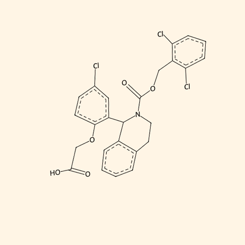 O=C(O)COc1ccc(Cl)cc1C1c2ccccc2CCN1C(=O)OCc1c(Cl)cccc1Cl